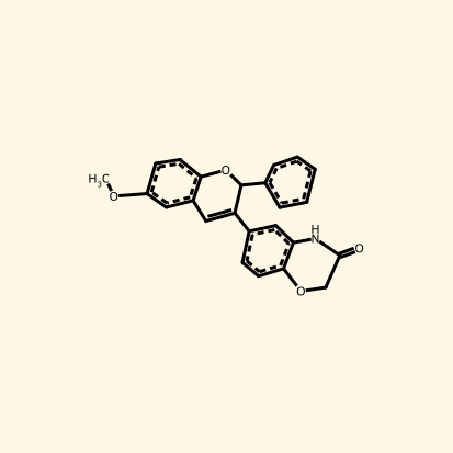 COc1ccc2c(c1)C=C(c1ccc3c(c1)NC(=O)CO3)C(c1ccccc1)O2